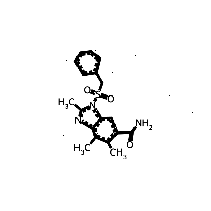 Cc1c(C(N)=O)cc2c(nc(C)n2S(=O)(=O)Cc2ccccc2)c1C